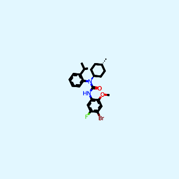 COc1cc(Br)c(F)cc1NC(=O)N(c1ccccc1C(C)C)[C@H]1CC[C@H](C)CC1